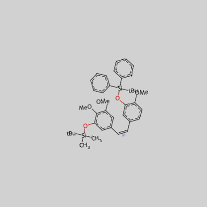 COc1ccc(/C=C\c2cc(OC)c(OC)c(O[Si](C)(C)C(C)(C)C)c2)cc1O[Si](c1ccccc1)(c1ccccc1)C(C)(C)C